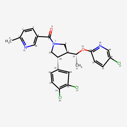 Cc1ccc(C(=O)N2C[C@@H]([C@@H](C)Oc3ccc(Cl)cn3)[C@H](c3ccc(Cl)c(Cl)c3)C2)cn1